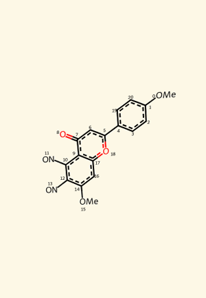 COc1ccc(-c2cc(=O)c3c(N=O)c(N=O)c(OC)cc3o2)cc1